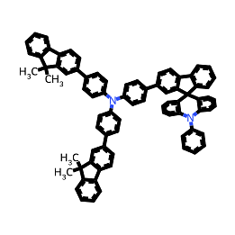 CC1(C)c2ccccc2-c2ccc(-c3ccc(N(c4ccc(-c5ccc6c(c5)C(C)(C)c5ccccc5-6)cc4)c4ccc(-c5ccc6c(c5)C5(c7ccccc7-6)c6ccccc6N(c6ccccc6)c6ccccc65)cc4)cc3)cc21